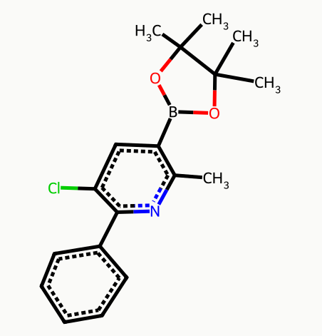 Cc1nc(-c2ccccc2)c(Cl)cc1B1OC(C)(C)C(C)(C)O1